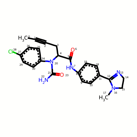 CC#CCC(C(=O)Nc1ccc(C2=NCCN2C)cc1)N(C(N)=O)c1ccc(Cl)cc1